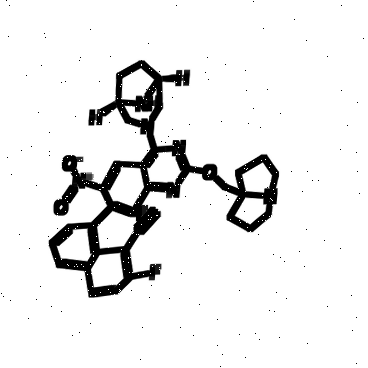 C#Cc1c(F)ccc2cccc(-c3c([N+](=O)[O-])cc4c(N5C[C@H]6CC[C@@H](C5)N6)nc(OCC56CCCN5CCC6)nc4c3F)c12